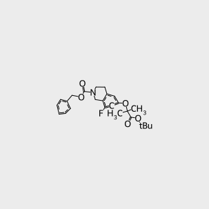 CC(C)(C)OC(=O)C(C)(C)Oc1cc(F)c2c(c1)CCN(C(=O)OCc1ccccc1)C2